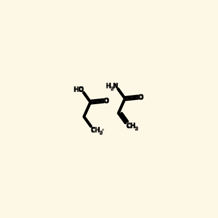 C=CC(N)=O.[CH2]CC(=O)O